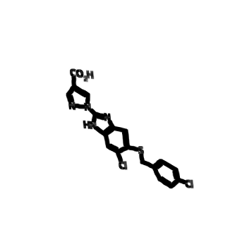 O=C(O)c1cnn(-c2nc3cc(SCc4ccc(Cl)cc4)c(Cl)cc3[nH]2)c1